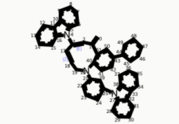 C=C1/C=C(n2c3ccccc3c3ccccc32)\C=C/CN(c2cccc(-n3c4ccccc4c4ccccc43)c2)c2ccc(-c3ccccc3)cc21